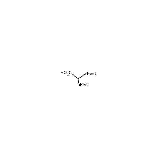 CCCCCC(CCCCC)C(=O)O